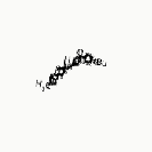 CN1CC2CC1CN2c1ccc(NCC2C3CN(C(=O)c4ccc(C(C)(C)C)cc4)CC23)cn1